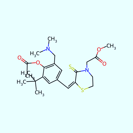 COC(=O)CN1CCSC(=Cc2cc(CN(C)C)c(OC(C)=O)c(C(C)(C)C)c2)C1=S